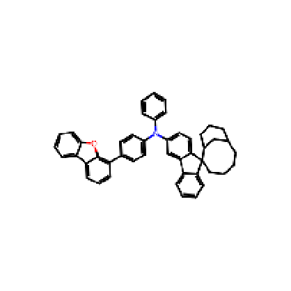 c1ccc(N(c2ccc(-c3cccc4c3oc3ccccc34)cc2)c2ccc3c(c2)-c2ccccc2C32CCCCC3CCCC2C3)cc1